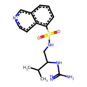 CC(C)C(CNS(=O)(=O)c1cccc2cnccc12)NC(=N)N